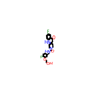 O=C1CC2(CCN(C(=O)NCc3ccc(F)c(OCCO)c3)CC2)Nc2ccc(F)cc21